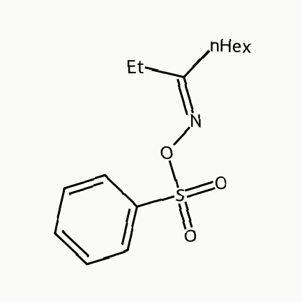 CCCCCCC(CC)=NOS(=O)(=O)c1ccccc1